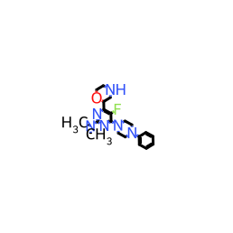 CN(C)c1nc(C2CNCCO2)c(F)c(N2CCN(c3ccccc3)CC2)n1